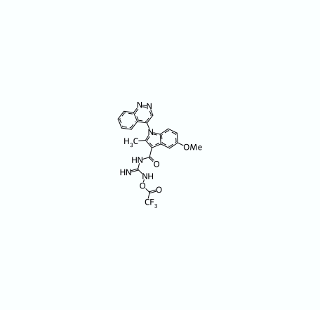 COc1ccc2c(c1)c(C(=O)NC(=N)NOC(=O)C(F)(F)F)c(C)n2-c1cnnc2ccccc12